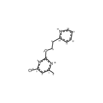 Cc1cc(Cl)nc(OCCc2ccccn2)n1